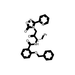 CC(C)C[C@H](NC(=O)c1ccccc1OCc1ccccc1)C(=O)Cn1c(-c2ccccn2)noc1=O